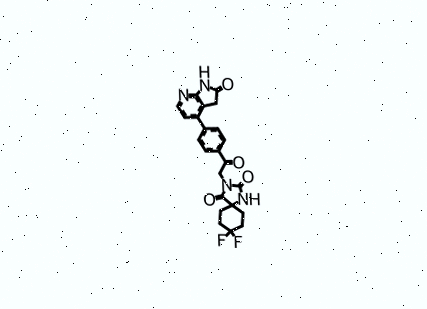 O=C1Cc2c(-c3ccc(C(=O)CN4C(=O)NC5(CCC(F)(F)CC5)C4=O)cc3)ccnc2N1